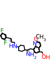 COc1ccc2c(CO)ccc(C[C@H](N)C3CCC(NC/C=C/c4cc(F)ccc4F)CC3)c2n1